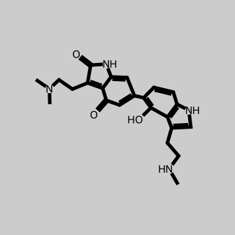 CNCCc1c[nH]c2ccc(C3=CC(=O)C4=C(CCN(C)C)C(=O)NC4=C3)c(O)c12